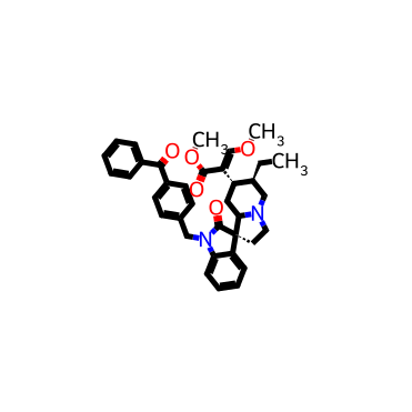 CC[C@H]1CN2CC[C@]3(C(=O)N(Cc4ccc(C(=O)c5ccccc5)cc4)c4ccccc43)C2C[C@@H]1/C(=C\OC)C(=O)OC